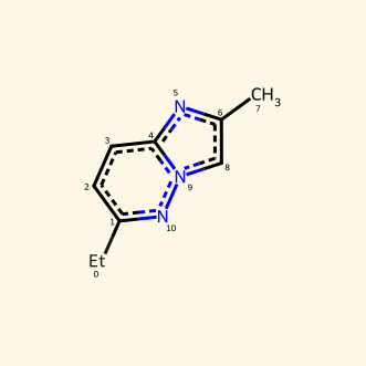 CCc1ccc2nc(C)cn2n1